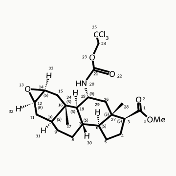 COC(=O)[C@H]1CC[C@H]2[C@@H]3CC[C@H]4C[C@H]5O[C@H]5C[C@]4(C)[C@H]3[C@H](NC(=O)OCC(Cl)(Cl)Cl)C[C@]12C